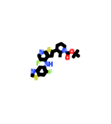 CC1C(c2cc3c(Nc4cc5ncsc5cc4F)c(F)cnc3s2)CCCN1C(=O)OC(C)(C)C